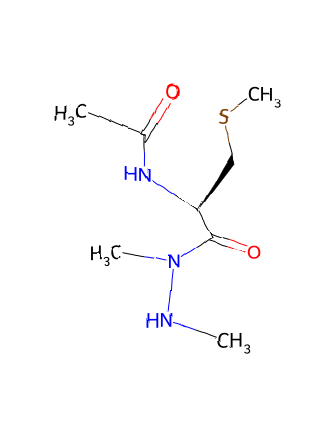 CNN(C)C(=O)[C@H](CSC)NC(C)=O